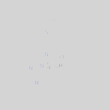 CC(C)(C)Cn1c(C(C(=O)N2CCOCC2)c2ccccc2)cc2cnc(C#N)nc21